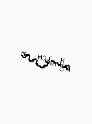 CC/C=C\C/C=C\C/C=C\C/C=C\C/C=C\C/C=C\CCC(=O)N[C@@H](CCCCNC(=O)c1cccnc1)C(=O)O